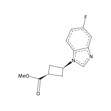 COC(=O)[C@H]1C[C@@H](n2cnc3cc(F)ccc32)C1